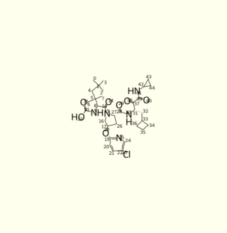 CC(C)(C)CC(C)(C)C(NC(=O)O)C(=O)N1C[C@H](Oc2ccc(Cl)cn2)C[C@H]1C(=O)N[C@@H](CC1CCC1)C(=O)C(=O)NC1CC1